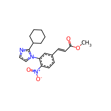 COC(=O)C=Cc1ccc([N+](=O)[O-])c(-n2ccnc2C2CCCCC2)c1